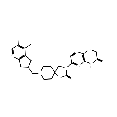 Cc1c(F)cnc2c1CC(CN1CCC3(CC1)CN(c1cnc4c(n1)NC(=O)CO4)C(=O)O3)C2